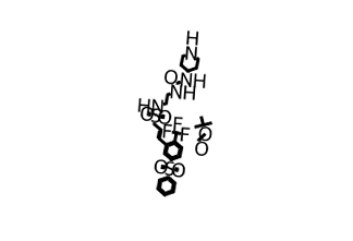 CC(C)(C)OC=O.O=C(NCCNS(=O)(=O)CC=Cc1cc(S(=O)(=O)c2ccccc2)ccc1C(F)(F)F)NC1CCNCC1